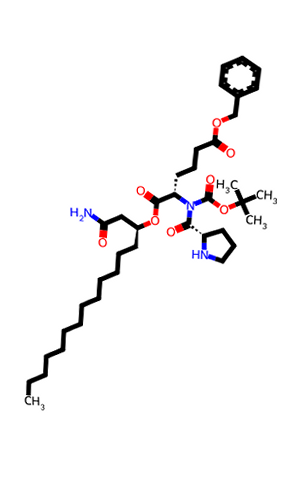 CCCCCCCCCCCCC[C@@H](CC(N)=O)OC(=O)[C@H](CCCC(=O)OCc1ccccc1)N(C(=O)OC(C)(C)C)C(=O)[C@@H]1CCCN1